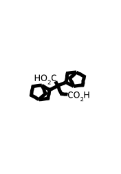 O=C(O)CC(C(=O)O)(C1CC2CCC1C2)C1CC2CCC1C2